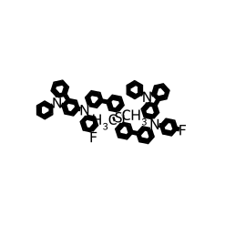 C[Si](C)(c1cccc(-c2cccc(N(c3ccc(F)cc3)c3ccc4c(c3)c3ccccc3n4-c3ccccc3)c2)c1)c1cccc(-c2cccc(N(c3ccc(F)cc3)c3ccc4c(c3)c3ccccc3n4-c3ccccc3)c2)c1